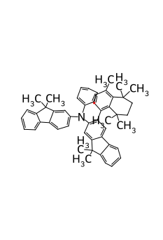 Cc1ccc(-c2cc3c(cc2N(c2ccccc2)c2ccc4c(c2)C(C)(C)c2ccccc2-4)C(C)(C)c2ccccc2-3)c2c1C(C)(C)CCC2(C)C